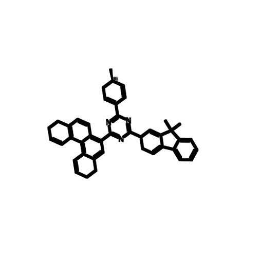 C[C@H]1C=CC(c2nc(-c3cc4c(c5c6c(ccc35)CCC=C6)C=CCC4)nc(C3C=C4C(=CC3)c3ccccc3C4(C)C)n2)=CC1